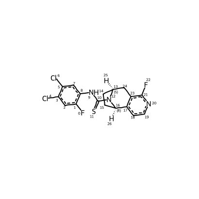 Fc1cc(Cl)c(Cl)cc1NC(=S)N1[C@H]2CC[C@@H]1c1ccnc(F)c1C2